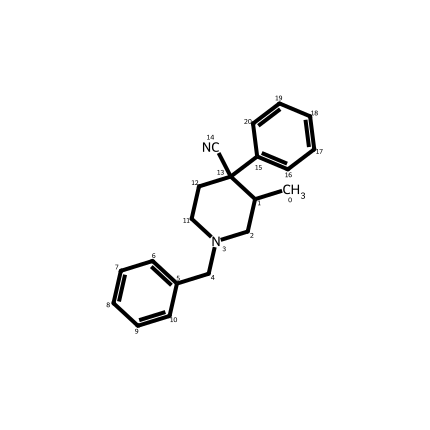 CC1CN(Cc2ccccc2)CCC1(C#N)c1ccccc1